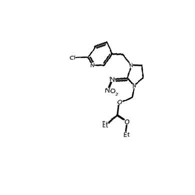 CCOC(CC)OCN1CCN(Cc2ccc(Cl)nc2)C1=N[N+](=O)[O-]